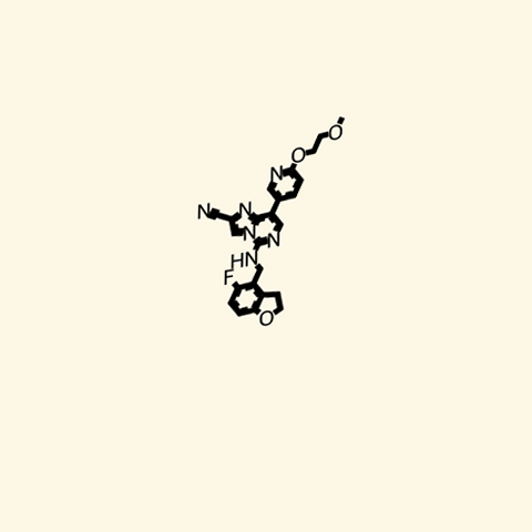 COCCOc1ccc(-c2cnc(NCc3c(F)ccc4c3CCO4)n3cc(C#N)nc23)cn1